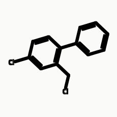 ClCc1cc(Cl)ccc1-c1ccccc1